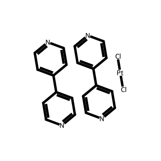 [Cl][Pt][Cl].c1cc(-c2ccncc2)ccn1.c1cc(-c2ccncc2)ccn1